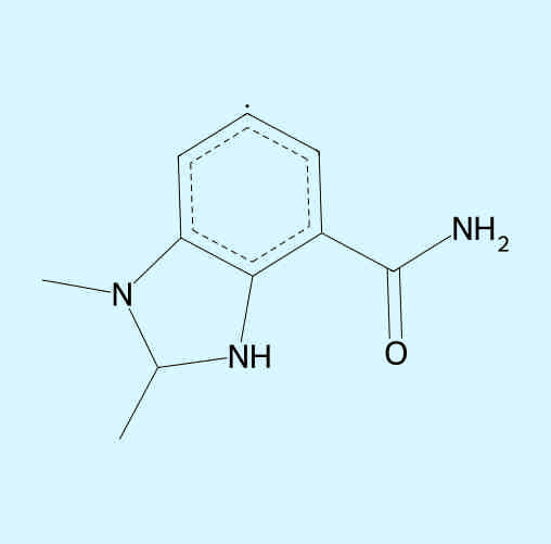 CC1Nc2c(C(N)=O)c[c]cc2N1C